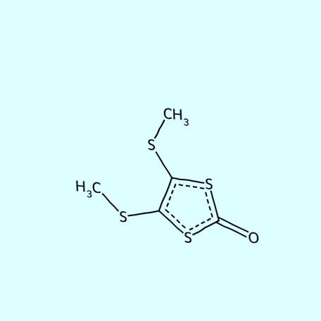 CSc1sc(=O)sc1SC